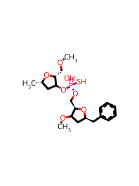 COC[C@H]1O[C@@H](C)CC1O[PH](O)(S)OC[C@H]1O[C@@H](Cc2ccccc2)CC1OC